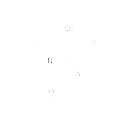 CC(=O)N1CCNC(=O)C1=O